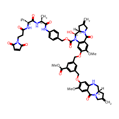 C=C1C[C@H]2CNc3cc(OCc4cc(COc5cc6c(cc5OC)C(=O)N5CC(=C)C[C@H]5[C@H](O)N6C(=O)OCc5ccc(NC(=O)[C@H](C)NC(=O)[C@@H](NC(=O)CCN6C(=O)C=CC6=O)C(C)C)cc5)cc(C(=O)OC)c4)c(OC)cc3C(=O)N2C1